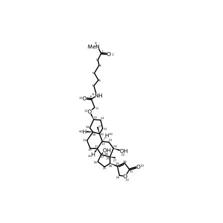 CNC(=O)CCCCCNC(=O)CO[C@H]1CC[C@@]2(C)[C@H](CC[C@@H]3[C@@H]2C[C@@H](O)[C@]2(C)[C@@H](C4=CC(=O)OC4)CC[C@]32O)C1